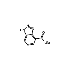 CC(C)(C)C(=O)c1cccc2[nH]nnc12